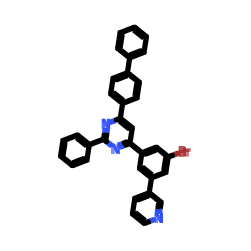 Brc1cc(-c2cccnc2)cc(-c2cc(-c3ccc(-c4ccccc4)cc3)nc(-c3ccccc3)n2)c1